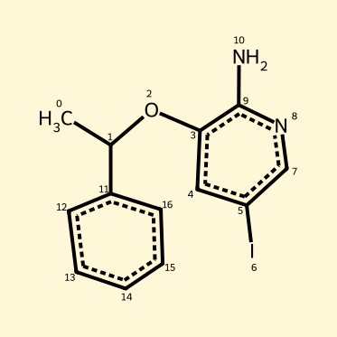 CC(Oc1cc(I)cnc1N)c1ccccc1